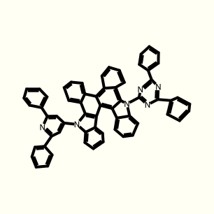 c1ccc(-c2cc(-n3c4ccccc4c4c5c(c6ccccc6c43)c3ccccc3c3c5c4ccccc4n3-c3nc(-c4ccccc4)nc(-c4ccccc4)n3)cc(-c3ccccc3)n2)cc1